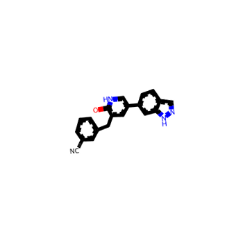 N#Cc1cccc(Cc2cc(-c3ccc4cn[nH]c4c3)c[nH]c2=O)c1